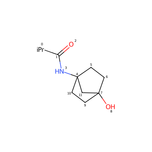 CC(C)C(=O)NC12CCC(O)(CC1)C2